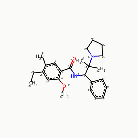 Bc1cc(C(=O)NC(c2ccccc2)C(C)(C)N2CCCC2)c(OC)cc1CC